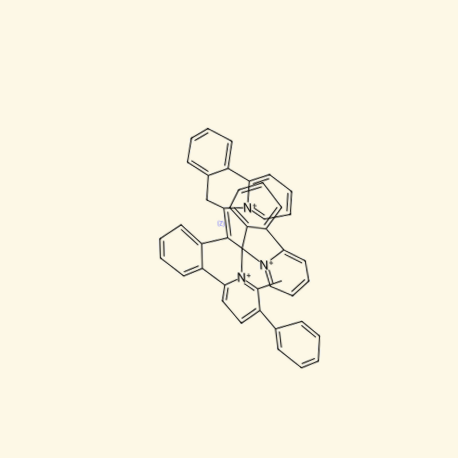 Cc1c(-c2ccccc2)ccc2[n+]1C1(/C(=C3/Cc4ccccc4-c4cccc[n+]43)c3ccccc3-2)c2ccccc2-c2cccc[n+]21